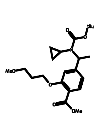 COCCCOc1cc(C(C)N(C(=O)OC(C)(C)C)C2CC2)ccc1C(=O)OC